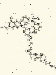 CCOc1cc(F)c(Cn2nc(-c3ncc(OCCCOC(=O)C(C)NC(=O)C(N)CCCCN)c(Nc4ccnc(NC(C)=O)c4)n3)c3ccccc32)c(F)c1